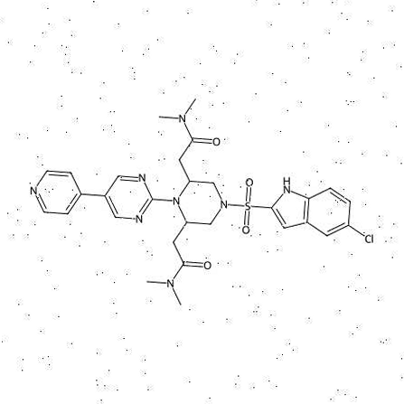 CN(C)C(=O)CC1CN(S(=O)(=O)c2cc3cc(Cl)ccc3[nH]2)CC(CC(=O)N(C)C)N1c1ncc(-c2ccncc2)cn1